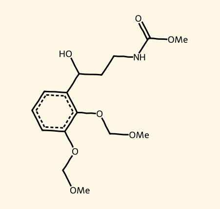 COCOc1cccc(C(O)CCNC(=O)OC)c1OCOC